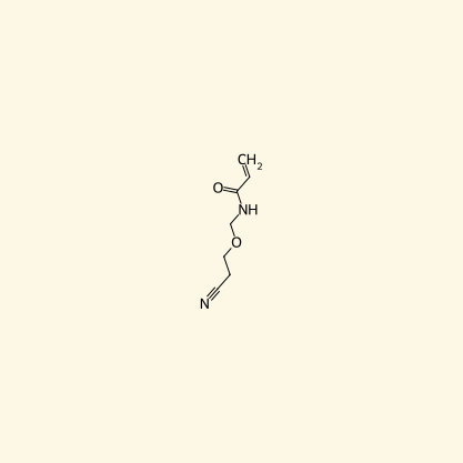 C=CC(=O)NCOCCC#N